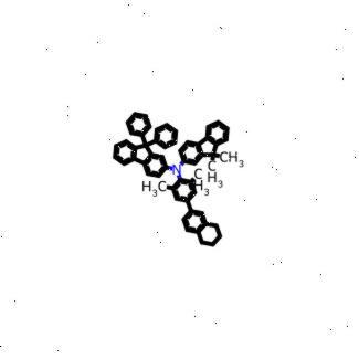 Cc1cc(-c2ccc3c(c2)CCCC3)cc(C)c1N(c1ccc2c(c1)C(C)(C)c1ccccc1-2)c1ccc2c(c1)C(c1ccccc1)(c1ccccc1)c1ccccc1-2